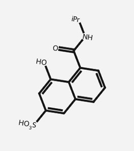 CC(C)NC(=O)c1cccc2cc(S(=O)(=O)O)cc(O)c12